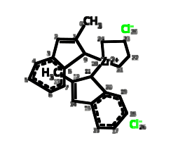 CC1=Cc2ccccc2[CH]1[Zr+2]1([CH]2C(C)=Cc3ccccc32)[CH2]CC[CH2]1.[Cl-].[Cl-]